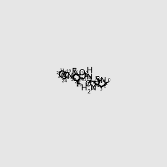 Cc1ccc2c(N)c(C(=O)N[C@H]3COc4c(F)c(N5CC6CCC7CC5N76)cc(F)c4C3)sc2n1